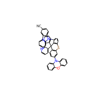 N#Cc1ccc2c(c1)c1ccccc1n2-c1cccc2c1C1(c3ccc(N4c5ccccc5Oc5ccccc54)cc3S2)c2cccnc2-c2ncccc21